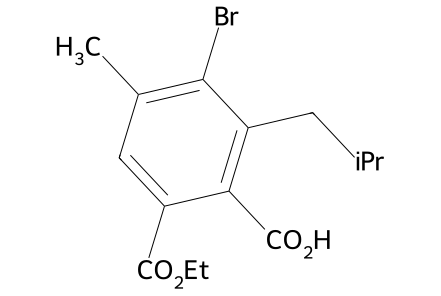 CCOC(=O)c1cc(C)c(Br)c(CC(C)C)c1C(=O)O